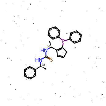 C[C@H](NC(=S)N[C@@H](C)c1ccccc1)C1=C(P(c2ccccc2)c2ccccc2)CC=C1